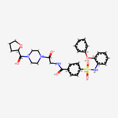 O=C(NCC(=O)N1CCN(C(=O)C2CCCO2)CC1)c1ccc(S(=O)(=O)Nc2ccccc2Oc2ccccc2)cc1